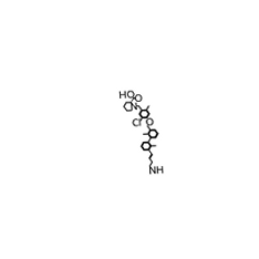 CNCC/C=C/c1cccc(-c2cccc(COc3cc(C)c(CN4CCCC[C@H]4C(=O)O)cc3Cl)c2C)c1C